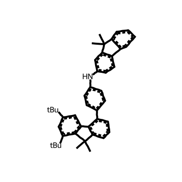 CC(C)(C)c1cc2c(c(C(C)(C)C)c1)C(C)(C)c1cccc(-c3ccc(Nc4ccc5c(c4)C(C)(C)c4ccccc4-5)cc3)c1-2